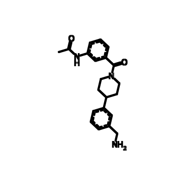 CC(=O)Nc1cccc(C(=O)N2CCC(c3cccc(CN)c3)CC2)c1